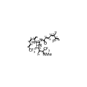 C=C(/C=C\C=C\C(F)(F)F)N/C(=N/C(=O)/C=C/C=C(/C)C(=C)F)NC(C)C(C)C(NC)C(F)(F)F